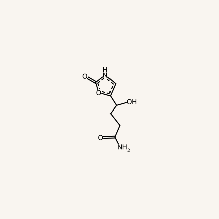 NC(=O)CCC(O)c1c[nH]c(=O)o1